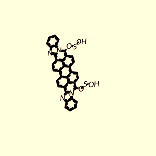 OSOc1c2ccc3c4ccc5c(OSO)n6c7ccccc7nc6c6ccc(c7ccc(c2c37)c2nc3ccccc3n12)c4c56